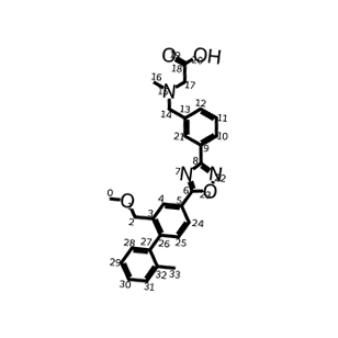 COCc1cc(-c2nc(-c3cccc(CN(C)CC(=O)O)c3)no2)ccc1-c1ccccc1C